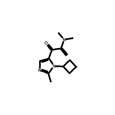 C=C(C(=O)c1cnc(C)n1C1CCC1)N(C)C